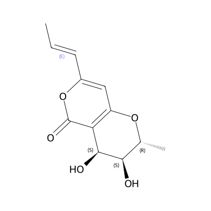 C/C=C/c1cc2c(c(=O)o1)[C@H](O)[C@H](O)[C@@H](C)O2